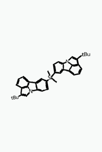 CC(C)(C)c1cn2c3ccc([Si](C)(C)c4ccc5c(c4)c4cccc6c(C(C)(C)C)cn5c64)cc3c3cccc1c32